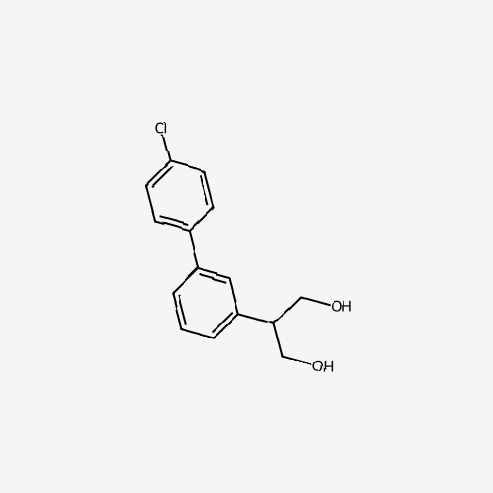 OCC(CO)c1cccc(-c2ccc(Cl)cc2)c1